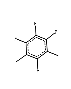 Cc1c(F)c(C)c(F)c(F)c1F